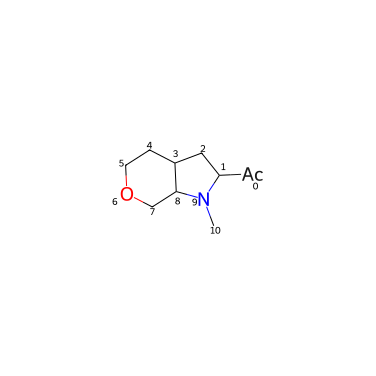 CC(=O)C1CC2CCOCC2N1C